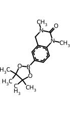 CN1Cc2cc(B3OC(C)(C)C(C)(C)O3)ccc2N(C)C1=O